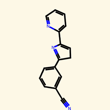 N#Cc1cccc(C2=NC(c3ccccn3)=CC2)c1